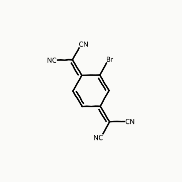 N#CC(C#N)=c1ccc(=C(C#N)C#N)c(Br)c1